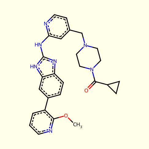 COc1ncccc1-c1ccc2nc(Nc3cc(CN4CCN(C(=O)C5CC5)CC4)ccn3)[nH]c2c1